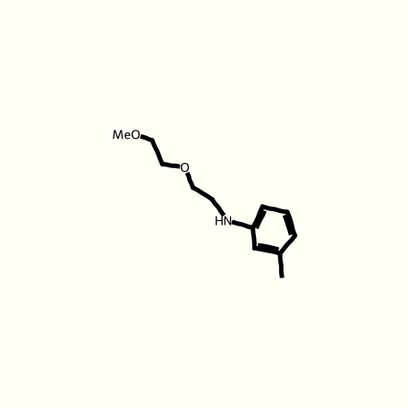 COCCOCCNc1cccc(C)c1